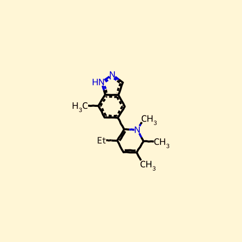 CCC1=C(c2cc(C)c3[nH]ncc3c2)N(C)C(C)C(C)=C1